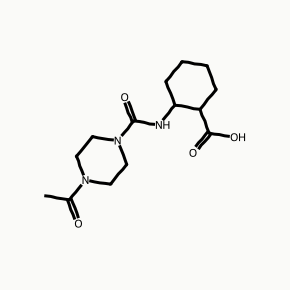 CC(=O)N1CCN(C(=O)NC2CCCCC2C(=O)O)CC1